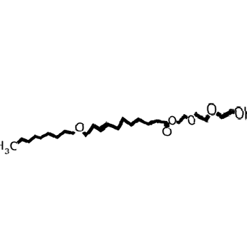 CCCCCCCCCOCCC=CCCCCCCC(=O)OCCOCCOCCO